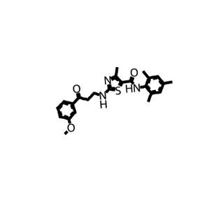 COc1cccc(C(=O)CCNc2nc(C)c(C(=O)Nc3c(C)cc(C)cc3C)s2)c1